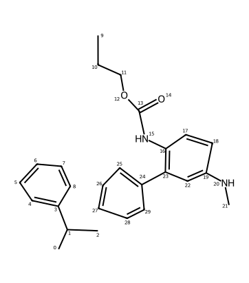 CC(C)c1ccccc1.CCCOC(=O)Nc1ccc(NC)cc1-c1ccccc1